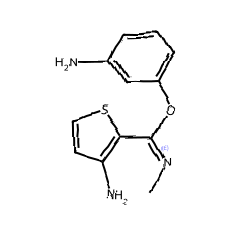 C/N=C(/Oc1cccc(N)c1)c1sccc1N